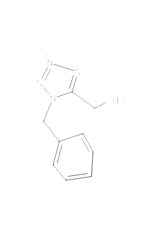 O=[C]Cc1nnnn1Cc1ccccc1